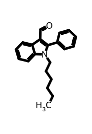 CCCCCCn1c(-c2ccccc2)c(C=O)c2ccccc21